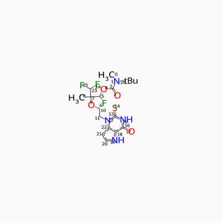 CN(C(=O)OC(F)C(C)(OCCn1c(=S)[nH]c(=O)c2[nH]ccc21)C(F)F)C(C)(C)C